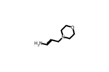 NC=CCN1CCOCC1